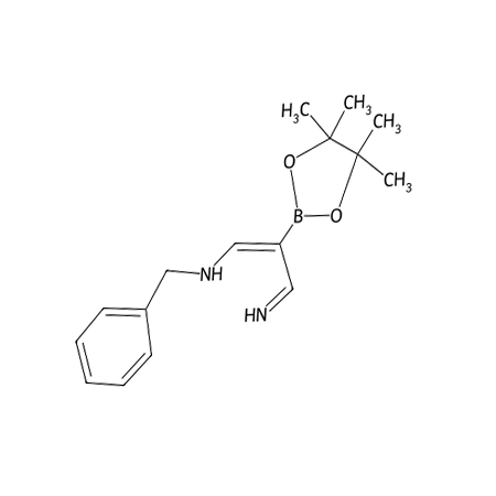 CC1(C)OB(/C(C=N)=C/NCc2ccccc2)OC1(C)C